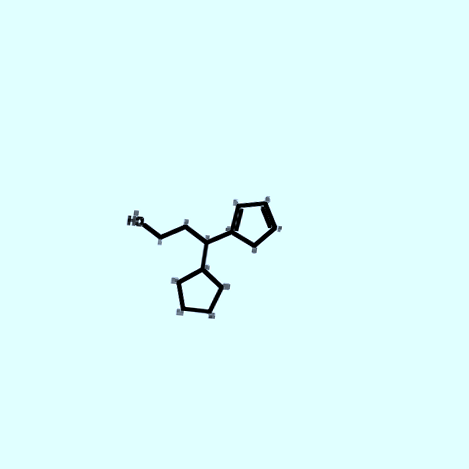 OCCC(C1=CC=CC1)C1CCCC1